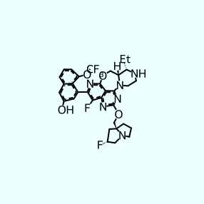 CC[C@@H]1NCCN2c3nc(OC[C@@]45CCCN4C[C@H](F)C5)nc4c(F)c(-c5cc(O)cc6cccc(OC(F)(F)F)c56)nc(c34)OC[C@H]12